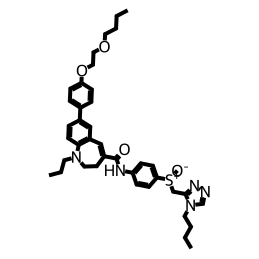 CCCCOCCOc1ccc(-c2ccc3c(c2)C=C(C(=O)Nc2ccc([S+]([O-])Cc4nncn4CCCC)cc2)CCN3CCC)cc1